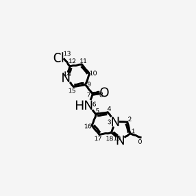 Cc1cn2cc(NC(=O)c3ccc(Cl)nc3)ccc2n1